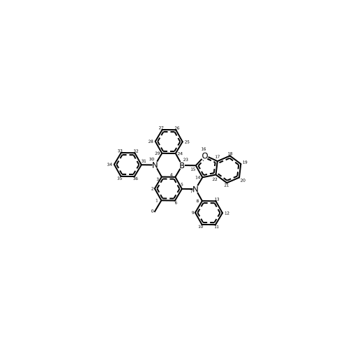 Cc1cc2c3c(c1)N(c1ccccc1)c1c(oc4ccccc14)B3c1ccccc1N2c1ccccc1